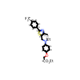 CCOC(=O)COc1ccc(N(CC)Cc2sc(-c3ccc(C(F)(F)F)cc3)nc2C)cc1